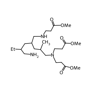 CCC(CN)CC(CNCCC(=O)OC)CC(C)CN(CCC(=O)OC)CCC(=O)OC